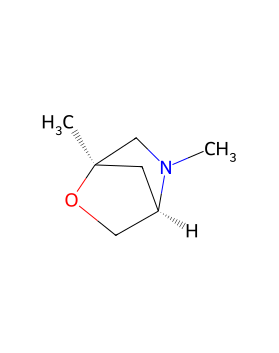 CN1C[C@@]2(C)C[C@@H]1CO2